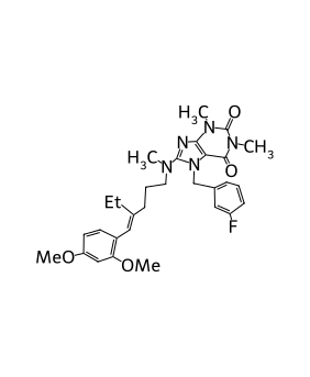 CC/C(=C\c1ccc(OC)cc1OC)CCCN(C)c1nc2c(c(=O)n(C)c(=O)n2C)n1Cc1cccc(F)c1